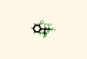 FC(F)(F)C(F)(c1cc[c]cc1Cl)C(F)(F)F